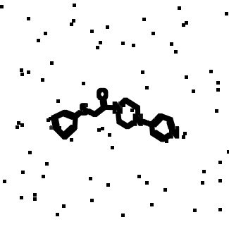 O=C(CSc1cc[c]cc1)N1CCN(c2ccncc2)CC1